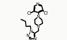 CCCCn1nnnc1CN1CCN(c2c(Cl)cncc2Cl)CC1